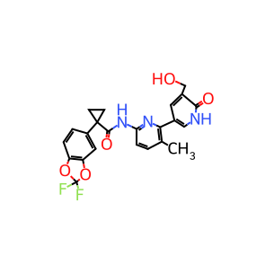 Cc1ccc(NC(=O)C2(c3ccc4c(c3)OC(F)(F)O4)CC2)nc1-c1c[nH]c(=O)c(CO)c1